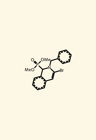 COP(=O)(OC)C1c2ccccc2C=C(Br)N1Cc1ccccc1